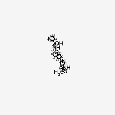 CS(=O)(=O)Nc1ccc(-c2ccc3c(c2)CC[C@H](CNC[C@H](O)c2cccnc2)O3)nc1